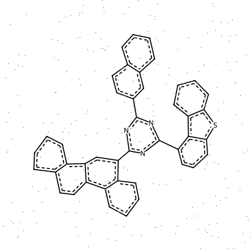 c1ccc2cc(-c3nc(-c4cc5c6ccccc6ccc5c5ccccc45)nc(-c4cccc5sc6ccccc6c45)n3)ccc2c1